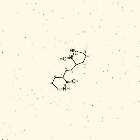 O=C1NCCCC1[CH]CC1CCCNC1=O